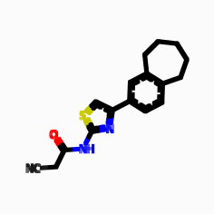 N#CCC(=O)Nc1nc(-c2ccc3c(c2)CCCCC3)cs1